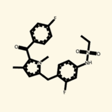 CCS(=O)(=O)Nc1ccc(Cc2cc(C)c(C(=O)c3ccc(F)cc3)n2C)c(F)c1